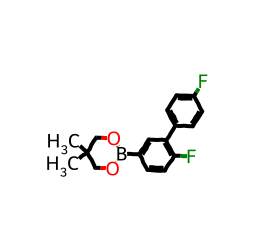 CC1(C)COB(c2ccc(F)c(-c3ccc(F)cc3)c2)OC1